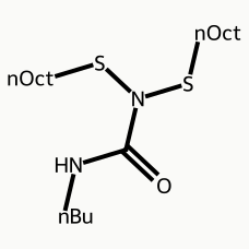 CCCCCCCCSN(SCCCCCCCC)C(=O)NCCCC